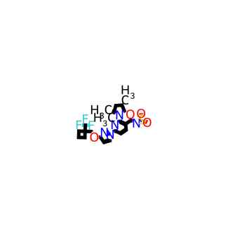 C[C@@H]1CN(c2nc(-n3ccc(OCC4(C(F)(F)F)CCC4)n3)ccc2C(=O)N=S(=O)=O)C(C)(C)C1